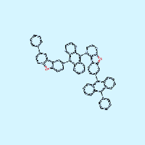 c1ccc(-c2ccc3oc4ccc(-c5c6ccccc6c(-c6cccc7oc8cc(-c9c%10ccccc%10c(-c%10ccccc%10)c%10ccccc9%10)ccc8c67)c6ccccc56)cc4c3c2)cc1